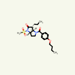 CCCCOc1ccc(C(=O)N2CC[C@H]3[C@H]2[C@@H](CCC)C(=O)N3S(C)(=O)=O)cc1